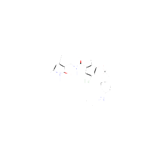 Cc1cc(C)c(CNC(=O)c2cc(Br)c3c(c2C)OC(C)(C[C@H]2CC[C@@H](NC(=O)O)CC2)O3)c(=O)[nH]1